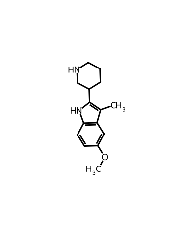 COc1ccc2[nH]c(C3CCCNC3)c(C)c2c1